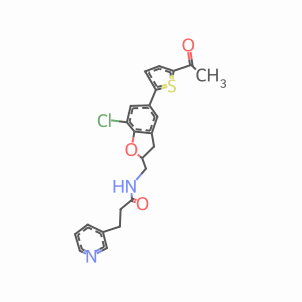 CC(=O)c1ccc(-c2cc(Cl)c3c(c2)CC(CNC(=O)CCc2cccnc2)O3)s1